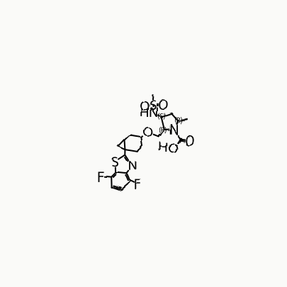 C[C@@H]1C[C@H](NS(C)(=O)=O)[C@H](COC2CCC3(c4nc5c(F)ccc(F)c5s4)CC3C2)N1C(=O)O